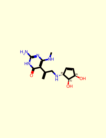 C=C(CN[C@@H]1C=C[C@@H](O)[C@H]1O)c1c(NC)nc(N)[nH]c1=O